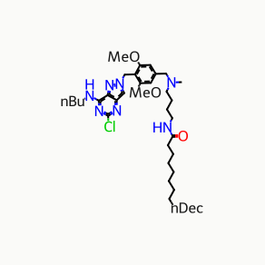 CCCCCCCCCCCCCCCCCC(=O)NCCCCN(C)Cc1cc(OC)c(Cn2cc3nc(Cl)nc(NCCCC)c3n2)c(OC)c1